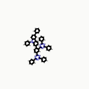 c1ccc(-c2ccc3c(c2)c2ccc(-c4ccc(-c5nc(-c6ccccc6)nc(-c6ccccc6)n5)cc4-c4nc(-c5ccccc5)nc(-c5ccccc5)n4)cc2n3-c2ccccc2)cc1